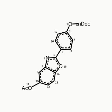 CCCCCCCCCCOc1ccc(-c2nc3cc(OC(C)=O)ccc3o2)cc1